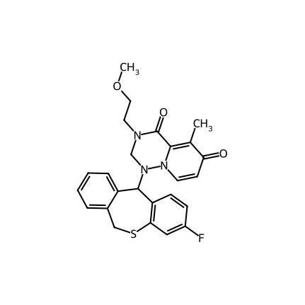 COCCN1CN(C2c3ccccc3CSc3cc(F)ccc32)n2ccc(=O)c(C)c2C1=O